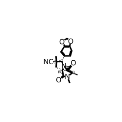 CN1C(=O)[C@@]23C[C@](C)(C#N)[C@H](c4ccc5c(c4)OCO5)N2C(=O)[C@]1(C)SS3